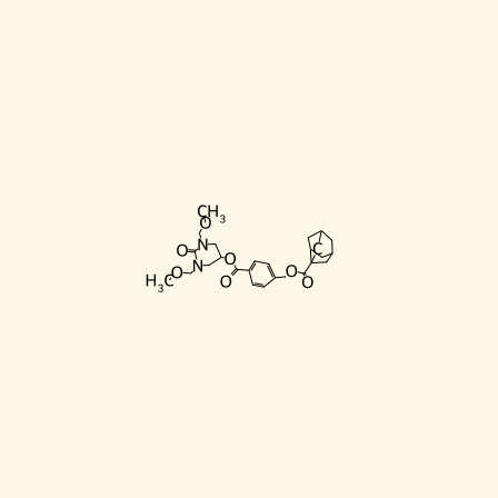 COCN1CC(OC(=O)c2ccc(COC(=O)C34CC5CC(CC3C5)C4)cc2)CN(COC)C1=O